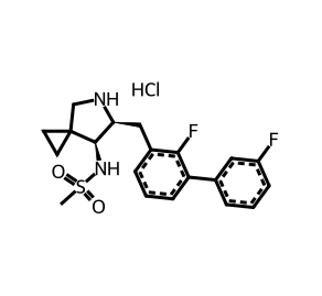 CS(=O)(=O)N[C@@H]1[C@H](Cc2cccc(-c3cccc(F)c3)c2F)NCC12CC2.Cl